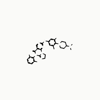 Cc1cc(Nc2ncc3c(n2)N2CCN=C2N(c2c(Cl)cccc2Cl)C3=O)cc(F)c1N1CCC(N(C)C)CC1